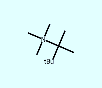 CC(C)(C)C(C)(C)[N+](C)(C)C